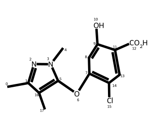 Cc1nn(C)c(Oc2cc(O)c(C(=O)O)cc2Cl)c1C